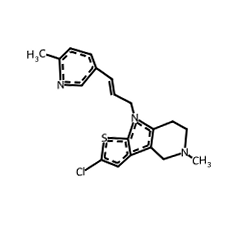 Cc1ccc(/C=C/Cn2c3c(c4cc(Cl)sc42)CN(C)CC3)cn1